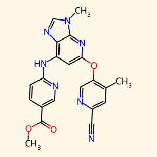 COC(=O)c1ccc(Nc2cc(Oc3cnc(C#N)cc3C)nc3c2ncn3C)nc1